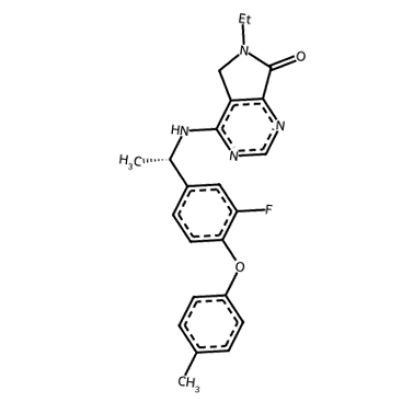 CCN1Cc2c(N[C@@H](C)c3ccc(Oc4ccc(C)cc4)c(F)c3)ncnc2C1=O